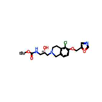 CC(C)(C)OC(=O)NC[C@H](O)CN1CCc2c(ccc(OCc3cnco3)c2Cl)C1